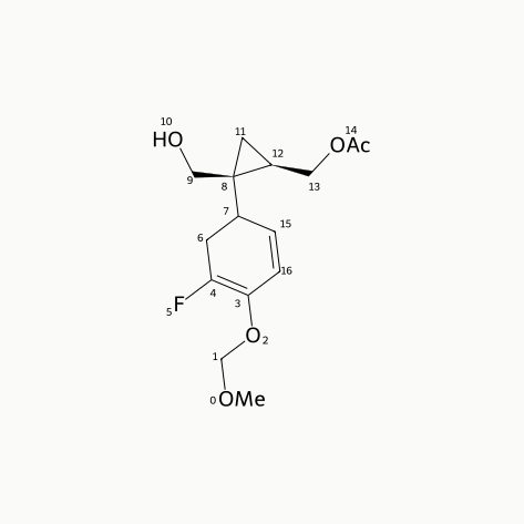 COCOC1=C(F)CC([C@]2(CO)C[C@H]2COC(C)=O)C=C1